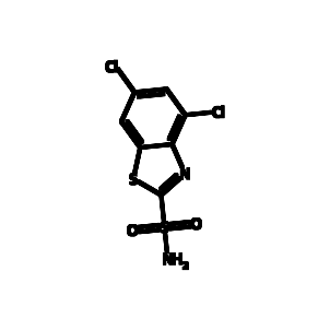 NS(=O)(=O)c1nc2c(Cl)cc(Cl)cc2s1